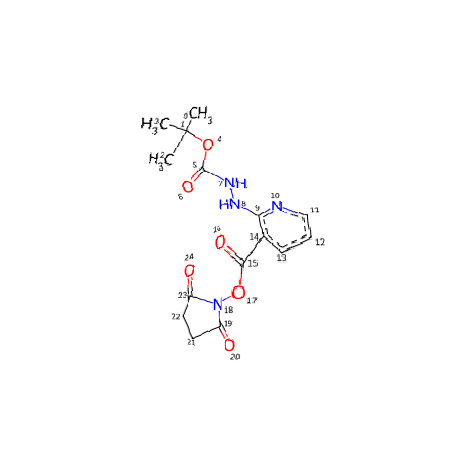 CC(C)(C)OC(=O)NNc1ncccc1C(=O)ON1C(=O)CCC1=O